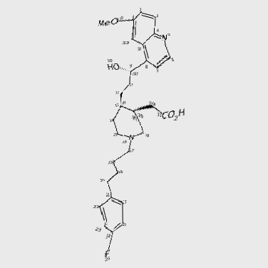 COc1ccc2nccc([C@@H](O)CC[C@@H]3CCN(CCCCc4ccc(F)cc4)C[C@@H]3CC(=O)O)c2c1